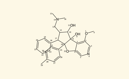 COc1cncc2c1C1(O)C(O)C(CN(C)C)C(c3ccccc3)C1(c1ccc(C)cc1)O2